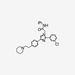 CC(C)NC(=O)Cn1cc(-c2ccc(CCN3CCCCC3)cc2)nc1-c1cccc(Cl)c1